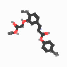 COc1ccc(/C=C/C(=O)Oc2ccc([N+](=O)[O-])cc2)cc1OCC(=O)OC(C)(C)C